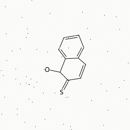 [O]C1C(=S)C=Cc2ccccc21